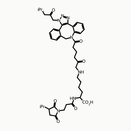 CC(C)CC(=O)Cn1nnc2c1-c1ccccc1CN(C(=O)CCCC(=O)CNCCCCC(NC(=O)CCN1C(=O)CC(C(C)C)C1=O)C(=O)O)c1ccccc1-2